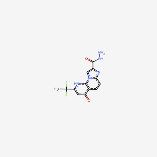 NNC(=O)c1cn2c(ccc3c(=O)cc(C(F)(F)C(F)(F)F)[nH]c32)n1